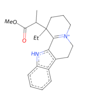 CCC1(C(C)C(=O)OC)CCC[N+]2=C1c1[nH]c3ccccc3c1CC2